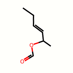 CCC=CC(C)OC=O